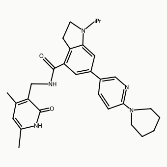 Cc1cc(C)c(CNC(=O)c2cc(-c3ccc(N4CCCCC4)nc3)cc3c2CCN3C(C)C)c(=O)[nH]1